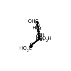 O=[C]COCCOCCNC(=O)COCCOCCNC(=O)CCC(NC(=O)CCCCCCCCCOc1ccc(C(=O)O)cc1)C(=O)O